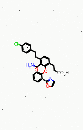 NC(=O)c1c(CCc2ccc(Cl)cc2)ccc(CCC(=O)O)c1Oc1ccccc1-c1ncco1